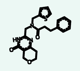 O=C(CCc1ccccc1)N(Cc1nc2c(c(=O)[nH]1)COCC2)Cc1cccs1